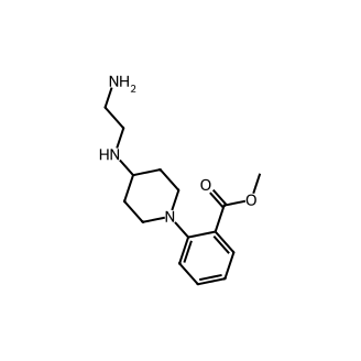 COC(=O)c1ccccc1N1CCC(NCCN)CC1